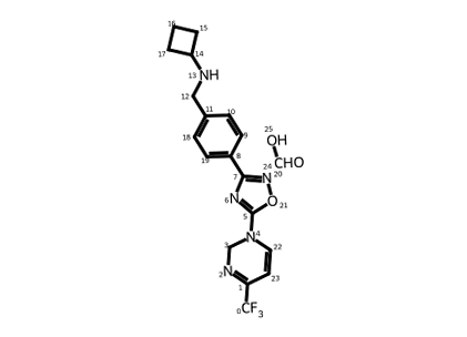 FC(F)(F)C1=NCN(c2nc(-c3ccc(CNC4CCC4)cc3)no2)C=C1.O=CO